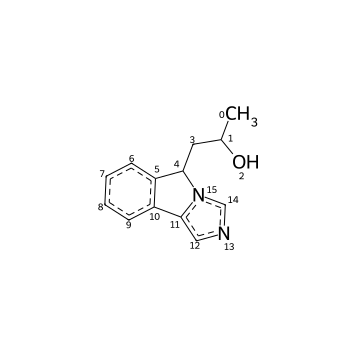 CC(O)CC1c2ccccc2-c2cncn21